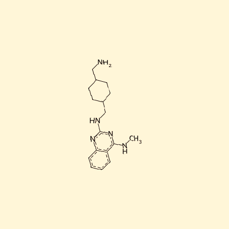 CNc1nc(NCC2CCC(CN)CC2)nc2ccccc12